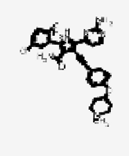 Cc1ccc(Cl)cc1-c1[nH]c(-c2ccnc(N)n2)c(C#Cc2ccc(OC3CCN(C)CC3)cc2)c1C(N)=O